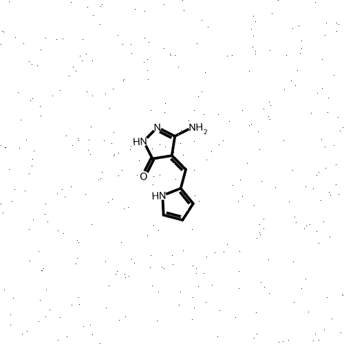 NC1=NNC(=O)C1=Cc1ccc[nH]1